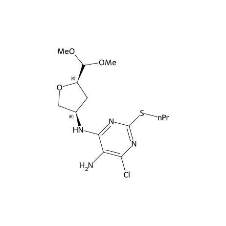 CCCSc1nc(Cl)c(N)c(N[C@H]2CO[C@@H](C(OC)OC)C2)n1